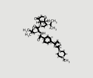 CC(C)[C@@H]1CN(C(=O)[C@H](CC(C)(C)C)NC(=O)c2ccc(-c3csc(N4CCN(C)CC4)n3)cc2)[C@@H]2C(=O)CO[C@@H]21